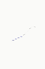 CC/C=C/C=C/C=C/C=C/CCCCCCCC(=O)O